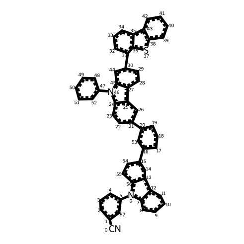 N#Cc1cccc(-n2c3ccccc3c3cc(-c4cccc(-c5ccc6c(c5)c5ccc(-c7cccc8c7sc7ccccc78)cc5n6-c5ccccc5)c4)ccc32)c1